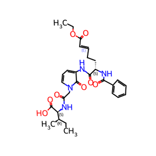 CCOC(=O)/C=C/CC[C@H](NC(=O)c1ccccc1)C(=O)Nc1cccn(CC(=O)N[C@H](C(=O)O)[C@H](C)CC)c1=O